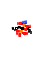 CCC(OC)(P(=N)(O)O)P(=O)(O)O